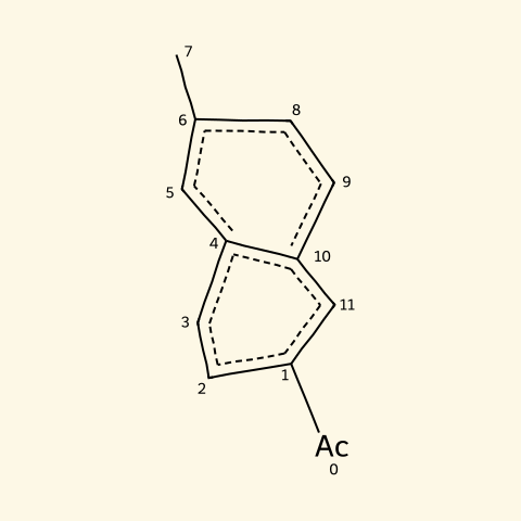 CC(=O)c1ccc2cc(C)ccc2c1